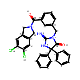 N=C1NC(c2ccccc2)(c2ccccc2)C(=O)N1Cc1cccc(C(=O)N2Cc3cc(Cl)c(Cl)cc3C2)c1